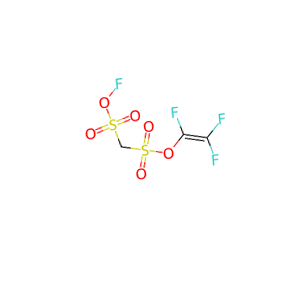 O=S(=O)(CS(=O)(=O)OC(F)=C(F)F)OF